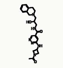 CC(=O)N1CC(Nc2cc(C(=O)NCC(O)CN3CCc4ccccc4C3)cnn2)C1